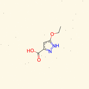 CCOc1cc(C(=O)O)n[nH]1